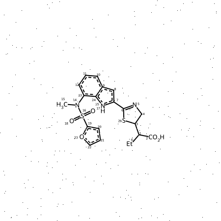 CCC(C(=O)O)C1CN=C(c2cc3cccc(N(C)S(=O)(=O)c4ccco4)c3[nH]2)S1